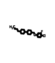 C=CCCC1CCC(C2CCC(COc3ccc(Cl)c(F)c3)CC2)CC1